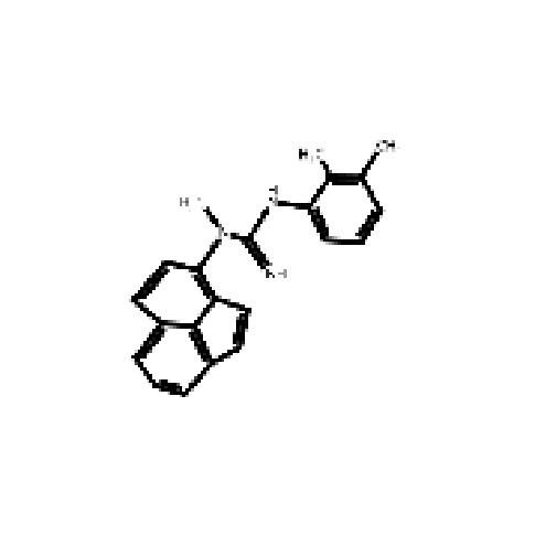 Cc1cccc(NC(=N)N(C)c2ccc3cccc4c3c2C=C4)c1C